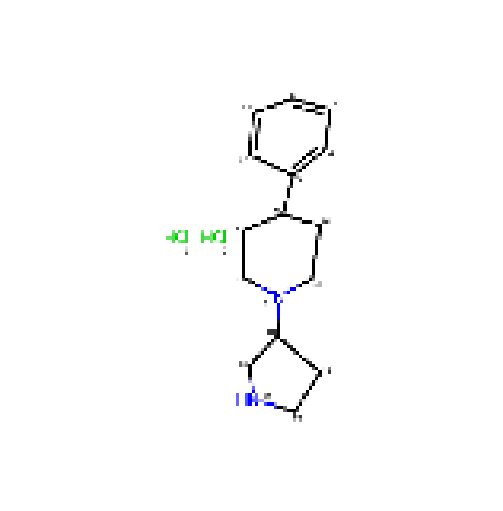 Cl.Cl.c1ccc(C2CCN(C3CCNC3)CC2)cc1